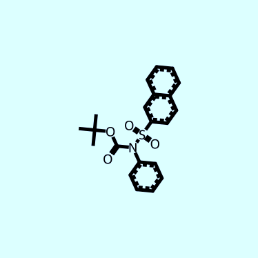 CC(C)(C)OC(=O)N(c1ccccc1)S(=O)(=O)c1ccc2ccccc2c1